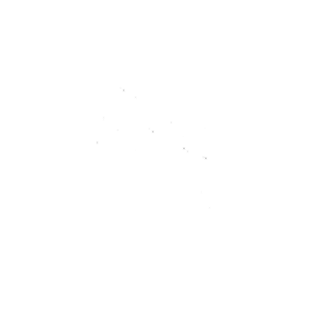 CC(C)(C)C(NC(=O)c1nn(CC(=O)c2ccccc2)c2ccccc12)C(N)=O